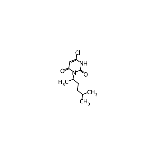 CC(C)CCC(C)n1c(=O)cc(Cl)[nH]c1=O